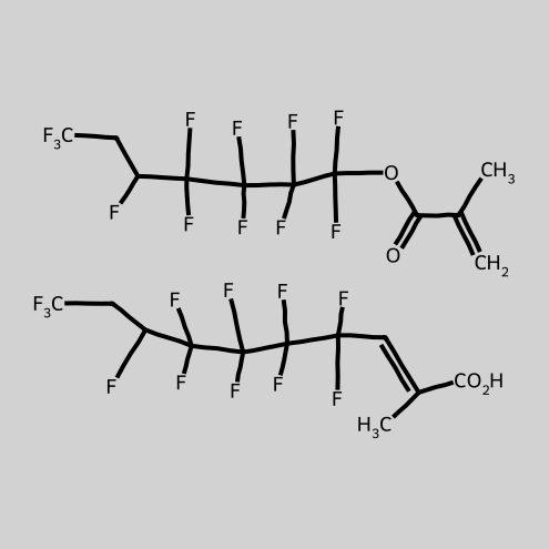 C=C(C)C(=O)OC(F)(F)C(F)(F)C(F)(F)C(F)(F)C(F)CC(F)(F)F.CC(=CC(F)(F)C(F)(F)C(F)(F)C(F)(F)C(F)CC(F)(F)F)C(=O)O